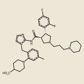 Cc1ccc(Cn2ccnc2NC(=O)[C@@H]2CN(CCCN3CCCCC3)C[C@H]2c2ccc(F)cc2F)c(N2CCC(C(=O)O)CC2)c1